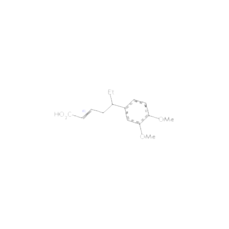 CCC(C/C=C/C(=O)O)c1ccc(OC)c(OC)c1